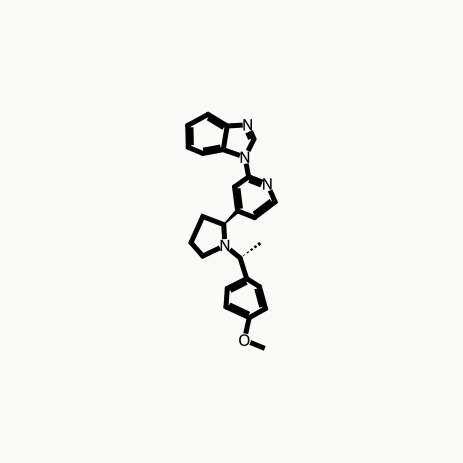 COc1ccc([C@@H](C)N2CCC[C@H]2c2ccnc(-n3cnc4ccccc43)c2)cc1